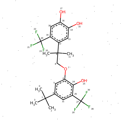 CC(C)(C)c1cc(OCC(C)(C)c2cc(O)c(O)cc2C(F)(F)F)c(O)c(C(F)(F)F)c1